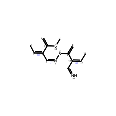 C=C(S/N=C\C(=C\C)C(=C)SC)/C(C=N)=C\C